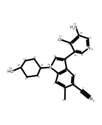 Cc1cc2c(cc1C#N)c(-c1cncc(N)c1Cl)cn2C1CCC(O)CC1